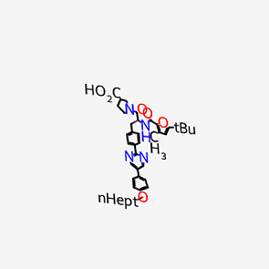 CCCCCCCOc1ccc(-c2cnc(-c3ccc(C[C@H](NC(=O)c4oc(C(C)(C)C)cc4C)C(=O)N4CC[C@H](C(=O)O)C4)cc3)nc2)cc1